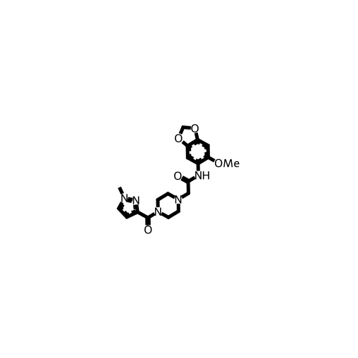 COc1cc2c(cc1NC(=O)CN1CCN(C(=O)c3ccn(C)n3)CC1)OCO2